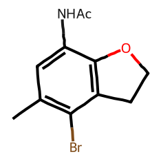 CC(=O)Nc1cc(C)c(Br)c2c1OCC2